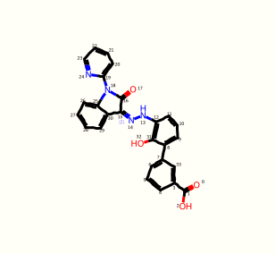 O=C(O)c1cccc(-c2cccc(N/N=C3\C(=O)N(c4ccccn4)c4ccccc43)c2O)c1